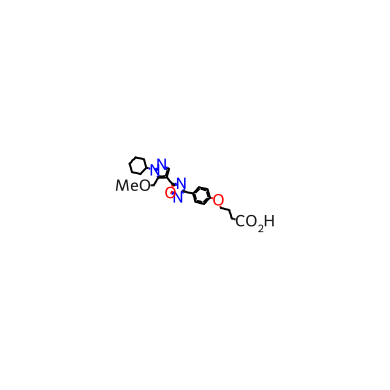 COCc1c(-c2nc(-c3ccc(OCCCC(=O)O)cc3)no2)cnn1C1CCCCC1